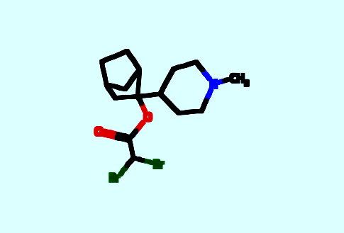 CN1CCC(C2(OC(=O)C(Br)Br)CC3CCC2C3)CC1